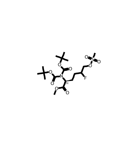 COC(=O)[C@H](CCC(F)COS(C)(=O)=O)N(C(=O)OC(C)(C)C)C(=O)OC(C)(C)C